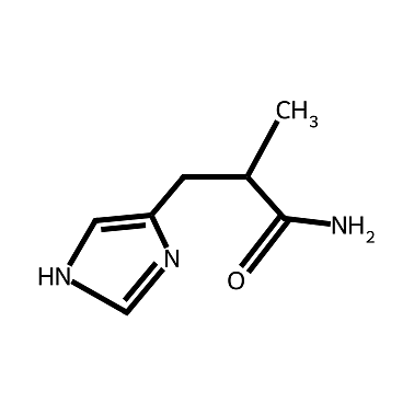 CC(Cc1c[nH]cn1)C(N)=O